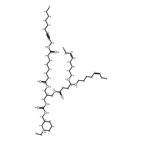 CC/C=C\CCCCOC(CCC(=O)OCC(COC(=O)CCCCCCC(=O)OCC#CCCCCCC)COC(=O)OCC1CCCN(CC)C1)OCCCC/C=C\CC